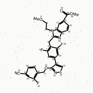 COCCn1c(Cc2c(F)cc(-c3csnc3OCc3ccc(C#N)cc3F)cc2F)nc2ccc(C(=O)OC)cc21